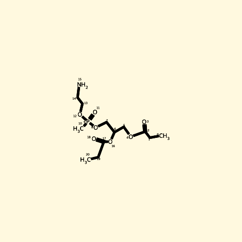 CCC(=O)OCC(COP(C)(=O)OCCN)OC(=O)CC